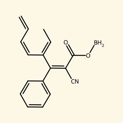 BOC(=O)\C(C#N)=C(C(/C=C\C=C)=C/C)\c1ccccc1